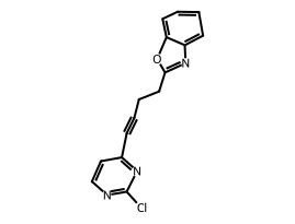 Clc1nccc(C#CCCc2nc3ccccc3o2)n1